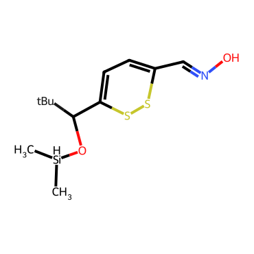 C[SiH](C)OC(C1=CC=C(C=NO)SS1)C(C)(C)C